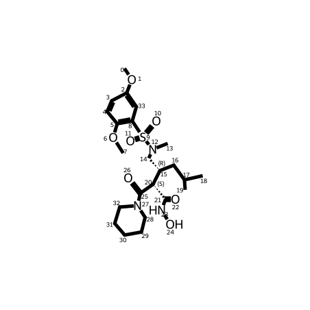 COc1ccc(OC)c(S(=O)(=O)N(C)C[C@H](CC(C)C)[C@H](C(=O)NO)C(=O)N2CCCCC2)c1